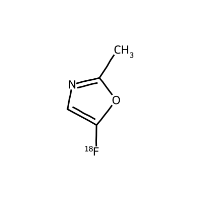 Cc1ncc([18F])o1